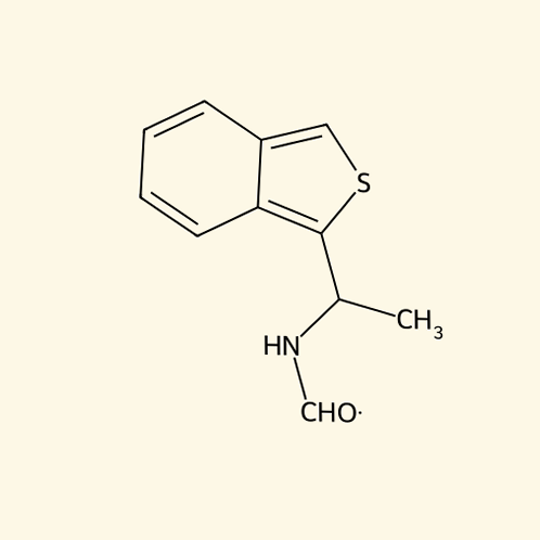 CC(N[C]=O)c1scc2ccccc12